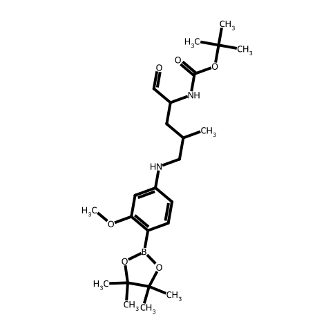 COc1cc(NCC(C)CC(C=O)NC(=O)OC(C)(C)C)ccc1B1OC(C)(C)C(C)(C)O1